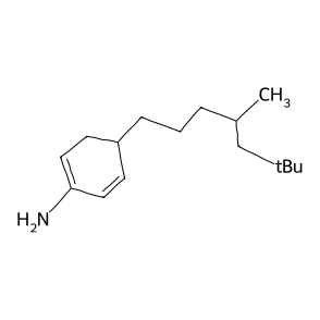 CC(CCCC1C=CC(N)=CC1)CC(C)(C)C